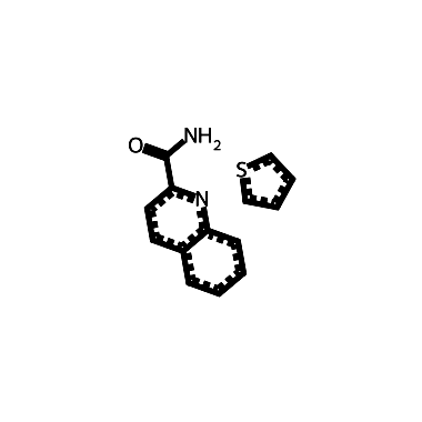 NC(=O)c1ccc2ccccc2n1.c1ccsc1